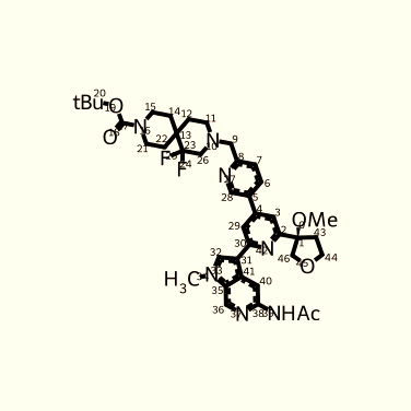 CO[C@@]1(c2cc(-c3ccc(CN4CCC5(CCN(C(=O)OC(C)(C)C)CC5)C(F)(F)C4)nc3)cc(-c3cn(C)c4cnc(NC(C)=O)cc34)n2)CCOC1